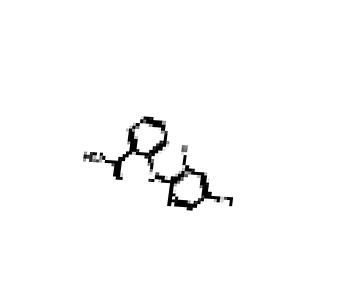 O=C(O)c1ccccc1Oc1ncc(Cl)cc1F